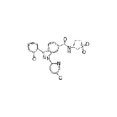 O=C(NC1CCS(=O)(=O)C1)c1ccc2c(-c3ccccc3Cl)nn(-c3ccc(Cl)cn3)c2c1